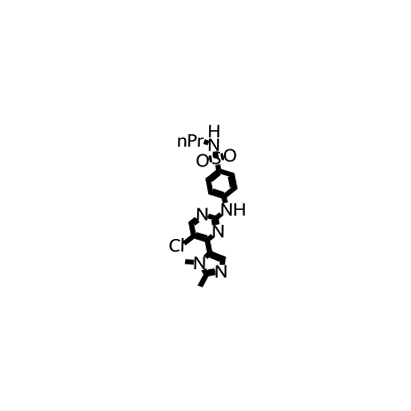 CCCNS(=O)(=O)c1ccc(Nc2ncc(Cl)c(-c3cnc(C)n3C)n2)cc1